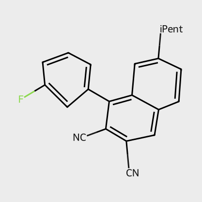 CCCC(C)c1ccc2cc(C#N)c(C#N)c(-c3cccc(F)c3)c2c1